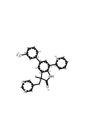 CC1(Cc2cncnc2)C(=O)Nc2c(-c3ccccn3)cc(-c3cccc(C(F)(F)F)c3)cc21